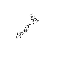 COc1cc(CNC2CCN(CCCOc3c4c(cc5oc(=O)ccc35)OCC4)CC2)ccc1O